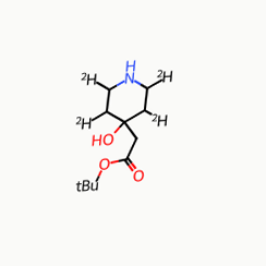 [2H]C1NC([2H])C([2H])C(O)(CC(=O)OC(C)(C)C)C1[2H]